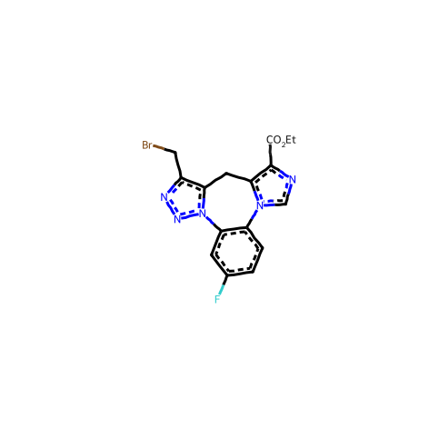 CCOC(=O)c1ncn2c1Cc1c(CBr)nnn1-c1cc(F)ccc1-2